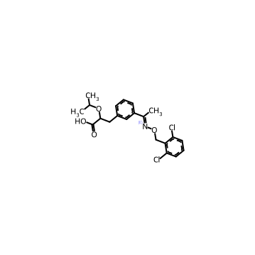 C/C(=N\OCc1c(Cl)cccc1Cl)c1cccc(CC(OC(C)C)C(=O)O)c1